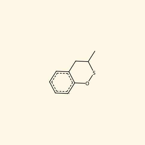 CC1Cc2ccc[c]c2OS1